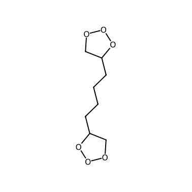 C(CCC1COOO1)CC1COOO1